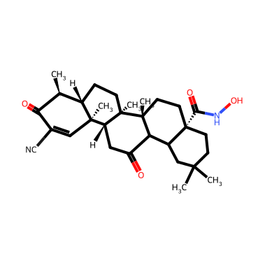 C[C@@H]1C(=O)C(C#N)=C[C@]2(C)[C@H]3CC(=O)C4C5CC(C)(C)CC[C@]5(C(=O)NO)CC[C@@]4(C)[C@]3(C)CC[C@@H]12